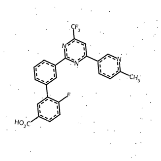 Cc1ccc(-c2cc(C(F)(F)F)nc(-c3cccc(-c4cc(C(=O)O)ccc4F)c3)n2)cn1